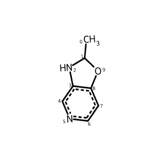 CC1Nc2cnccc2O1